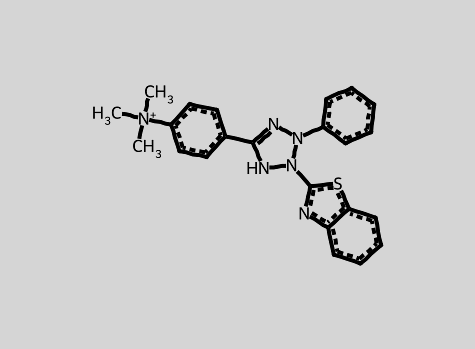 C[N+](C)(C)c1ccc(C2=NN(c3ccccc3)N(c3nc4ccccc4s3)N2)cc1